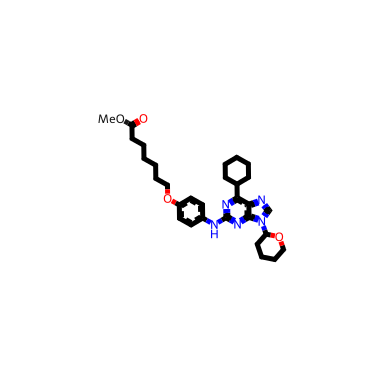 COC(=O)CCCCCCOc1ccc(Nc2nc(C3CCCCC3)c3ncn(C4CCCCO4)c3n2)cc1